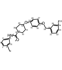 Cc1cccc(NC(=O)N2CCC(Oc3ccc(OCc4cccc(F)c4)cc3)CC2)c1